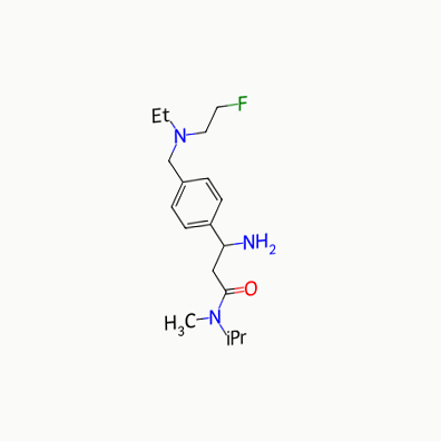 CCN(CCF)Cc1ccc(C(N)CC(=O)N(C)C(C)C)cc1